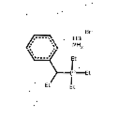 Br.CCC(c1ccccc1)[P+](CC)(CC)CC.N.[Br-]